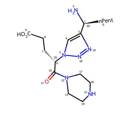 CCCCC[C@H](N)c1cn([C@@H](CCC(=O)O)C(=O)N2CCNCC2)nn1